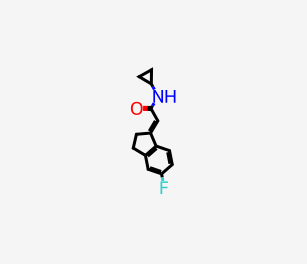 O=C(C=C1CCc2cc(F)ccc21)NC1CC1